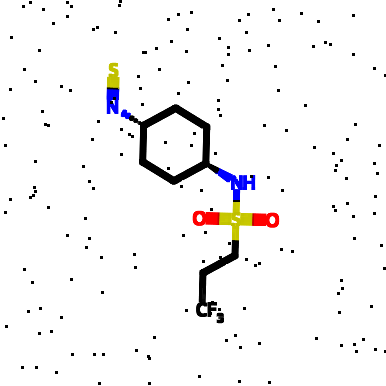 O=S(=O)(CCC(F)(F)F)N[C@H]1CC[C@H](N=S)CC1